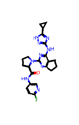 O=C(Nc1ccc(F)nc1)C1CCCN1c1nc2c(c(Nc3n[nH]c(C4CC4)n3)n1)CCC2